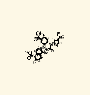 COC(=O)N1c2ccc3c(nc(C(C)Cn4cc(C(F)F)cn4)n3C3CCCC(C(=O)O)C3)c2CC[C@@H]1C